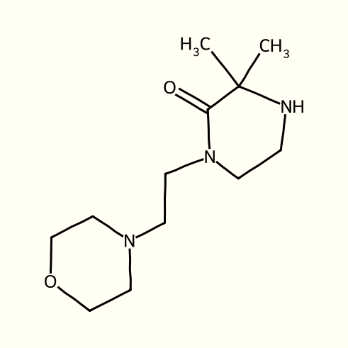 CC1(C)NCCN(CCN2CCOCC2)C1=O